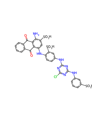 Nc1c(S(=O)(=O)O)cc(Nc2ccc(Nc3nc(Cl)nc(Nc4cccc(S(=O)(=O)O)c4)n3)cc2S(=O)(=O)O)c2c1C(=O)c1ccccc1C2=O